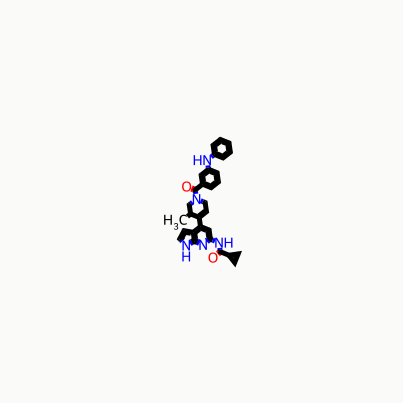 CC1CN(C(=O)c2cccc(Nc3ccccc3)c2)CC=C1c1cc(NC(=O)C2CC2)nc2[nH]ccc12